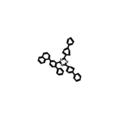 c1ccc(-c2ccc(-c3nc(-c4ccc(-c5ccccc5)cc4)nc(-c4cc(-c5cccc6ccccc56)ccc4-c4ccccc4)n3)cc2)cc1